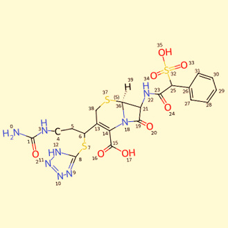 NC(=O)NCCC(Sc1nnn[nH]1)C1=C(C(=O)O)N2C(=O)C(NC(=O)C(c3ccccc3)S(=O)(=O)O)[C@@H]2SC1